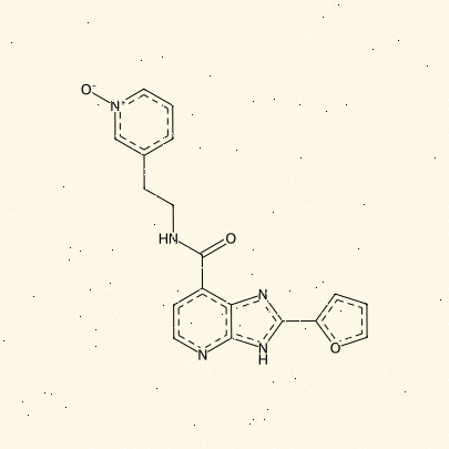 O=C(NCCc1ccc[n+]([O-])c1)c1ccnc2[nH]c(-c3ccco3)nc12